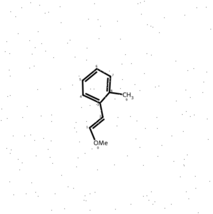 COC=Cc1ccccc1C